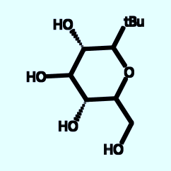 CC(C)(C)C1OC(CO)[C@H](O)C(O)[C@@H]1O